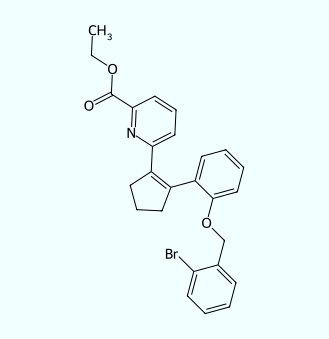 CCOC(=O)c1cccc(C2=C(c3ccccc3OCc3ccccc3Br)CCC2)n1